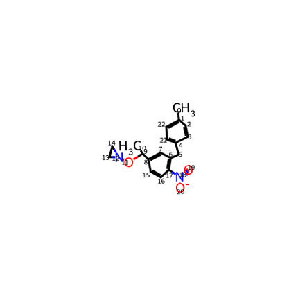 Cc1ccc(Cc2cc(C(C)ON3CC3)ccc2[N+](=O)[O-])cc1